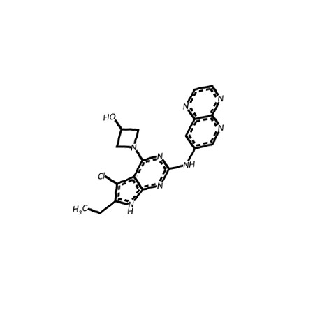 CCc1[nH]c2nc(Nc3cnc4nccnc4c3)nc(N3CC(O)C3)c2c1Cl